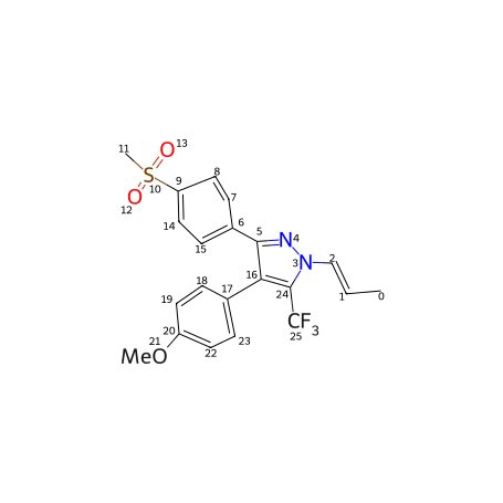 CC=Cn1nc(-c2ccc(S(C)(=O)=O)cc2)c(-c2ccc(OC)cc2)c1C(F)(F)F